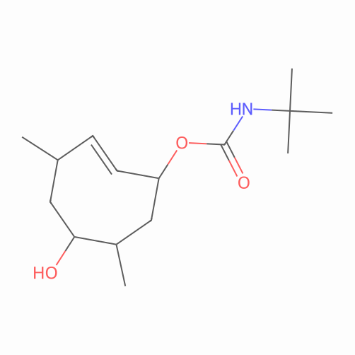 CC1/C=C/C(OC(=O)NC(C)(C)C)CC(C)C(O)C1